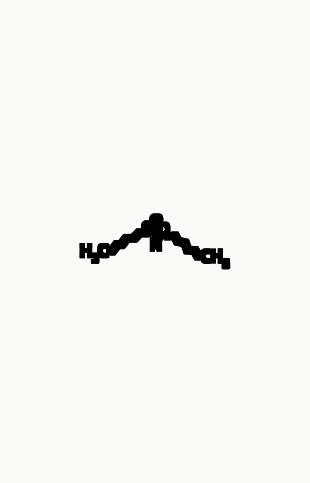 CCCCCCCCOP(=O)(C#N)OCCCCCCCC